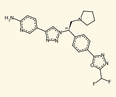 Nc1ccc(-c2cn([C@@H](CN3CCCC3)c3ccc(-c4nnc(C(F)F)o4)cc3)nn2)cn1